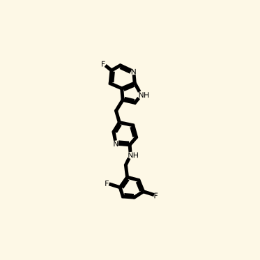 Fc1ccc(F)c(CNc2ccc(Cc3c[nH]c4ncc(F)cc34)cn2)c1